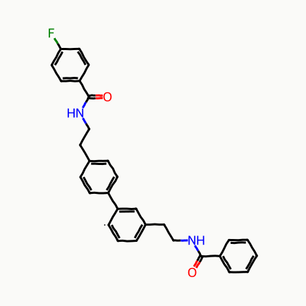 O=C(NCCc1ccc(-c2[c]ccc(CCNC(=O)c3ccccc3)c2)cc1)c1ccc(F)cc1